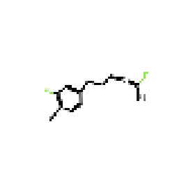 CCC(F)=C=CCCc1ccc(C)c(F)c1